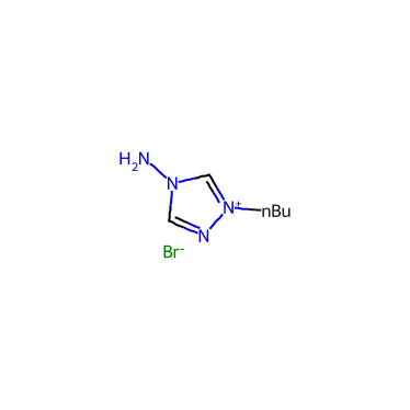 CCCC[n+]1cn(N)cn1.[Br-]